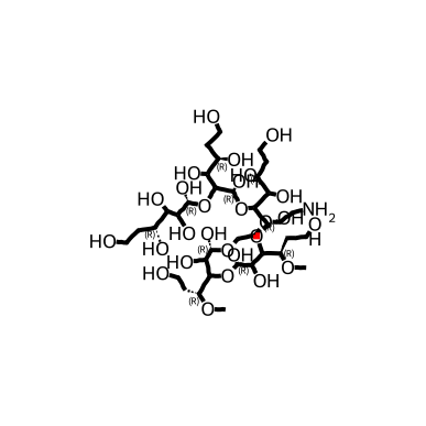 CO[C@H](CCO)C(O[C@@H](O)C(O)C(O[C@@H](O)C(O[C@@H](O)C(O[C@@H](O)C(O)C(O)[C@H](O)CCO)C(O)[C@H](O)CCO)C(O)[C@H](O)CCO)[C@@H](CCO)OC)C(O)[C@H](O)OCCOCCN